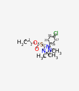 C=CCOC(=O)SC1=NC(C)(C)N(C)N1c1ccc(Cl)cc1